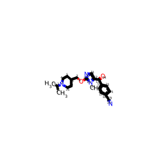 CC(C)N1CCC(COc2ncc(C(=O)c3ccc(C#N)cc3)n2C)CC1